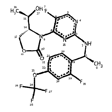 C[C@H](Nc1ncc(F)c(N2C(=O)OC[C@@H]2[C@@H](C)O)n1)c1ccc(OC(F)(F)F)cc1F